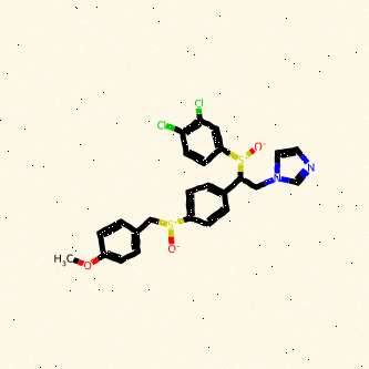 COc1ccc(C[S+]([O-])c2ccc(C(Cn3ccnc3)[S+]([O-])c3ccc(Cl)c(Cl)c3)cc2)cc1